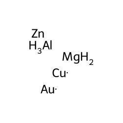 [AlH3].[Au].[Cu].[MgH2].[Zn]